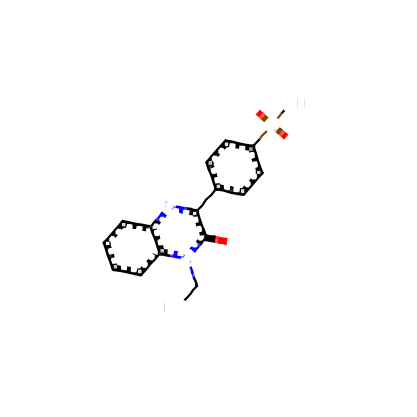 CCn1c(=O)c(-c2ccc(S(C)(=O)=O)cc2)nc2ccccc21